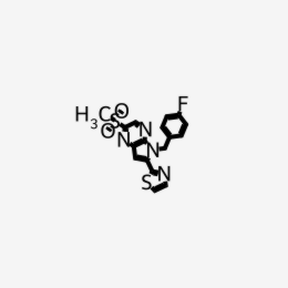 CS(=O)(=O)c1cnc2c(cc(-c3nccs3)n2Cc2ccc(F)cc2)n1